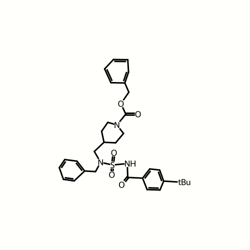 CC(C)(C)c1ccc(C(=O)NS(=O)(=O)N(Cc2ccccc2)CC2CCN(C(=O)OCc3ccccc3)CC2)cc1